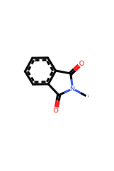 [CH]N1C(=O)c2ccccc2C1=O